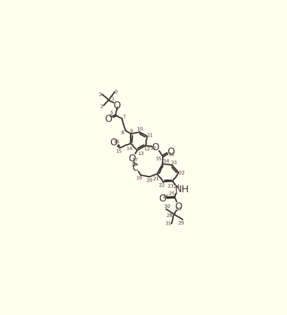 CC(C)(C)OC(=O)CCc1ccc2c(c1C=O)OCCCc1cc(NC(=O)OC(C)(C)C)ccc1C(=O)O2